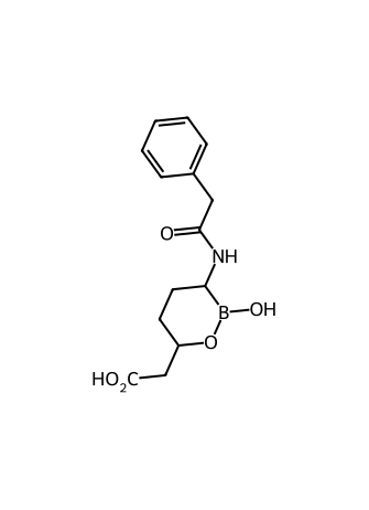 O=C(O)CC1CCC(NC(=O)Cc2ccccc2)B(O)O1